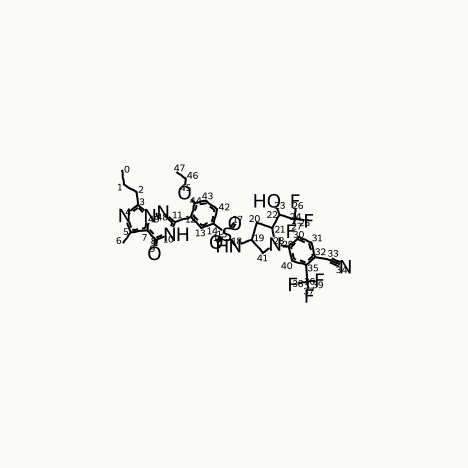 CCCc1nc(C)c2c(=O)[nH]c(-c3cc(S(=O)(=O)NC4CC(C(O)C(F)(F)F)N(c5ccc(C#N)c(C(F)(F)F)c5)C4)ccc3OCC)nn12